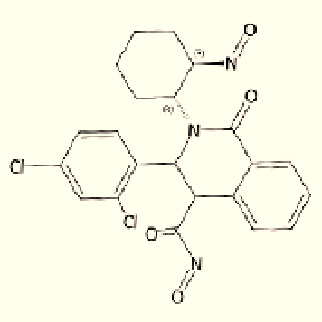 O=NC(=O)C1c2ccccc2C(=O)N([C@@H]2CCCC[C@H]2N=O)C1c1ccc(Cl)cc1Cl